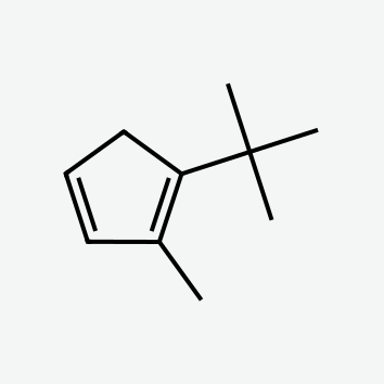 CC1=C(C(C)(C)C)CC=C1